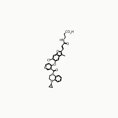 Cc1c(/C=C/C(=O)NCCC(=O)O)oc2cc(Cl)c(Oc3ccncc3C(=O)N3CCN(C4CC4)c4ccccc43)cc12